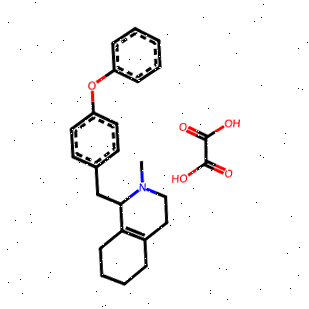 CN1CCC2=C(CCCC2)C1Cc1ccc(Oc2ccccc2)cc1.O=C(O)C(=O)O